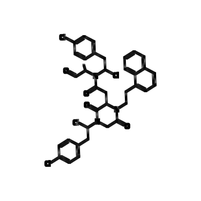 CC(C=O)N(C(=O)CC1C(=O)N(C(Cl)Cc2ccc(Cl)cc2)CC(=O)N1CCc1cccc2ccccc12)C(Cl)Cc1ccc(Cl)cc1